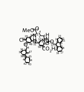 COC(=O)[C@H](CCCCNC(=O)OCC1c2ccccc2-c2ccccc21)NCc1cc(Cl)c(OCc2cccc(-c3ccccc3)c2C)cc1OCc1cncc(C(=O)O)c1